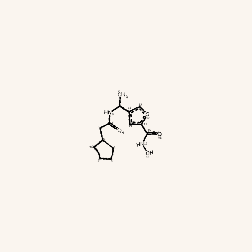 CC(NC(=O)CC1CCCC1)c1coc(C(=O)NO)c1